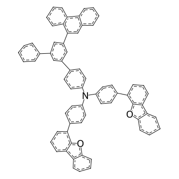 c1ccc(-c2cc(-c3ccc(N(c4ccc(-c5cccc6c5oc5ccccc56)cc4)c4ccc(-c5cccc6c5oc5ccccc56)cc4)cc3)cc(-c3cc4ccccc4c4ccccc34)c2)cc1